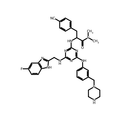 CN(C)C(=O)C(Cc1ccc(C#N)cc1)Nc1nc(NCc2nc3cc(F)ccc3[nH]2)nc(Nc2cccc(CN3CCNCC3)c2)n1